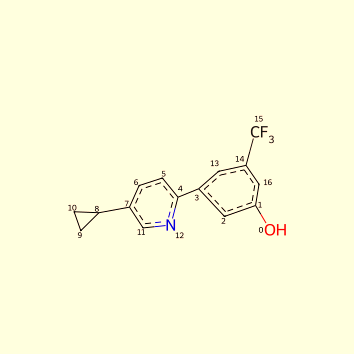 Oc1cc(-c2ccc(C3CC3)cn2)cc(C(F)(F)F)c1